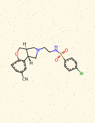 N#Cc1ccc2c(c1)[C@H]1CN(CCNS(=O)(=O)c3ccc(Br)cc3)C[C@@H]1CO2